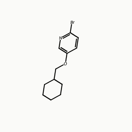 Brc1ccc(OCC2CCCCC2)cn1